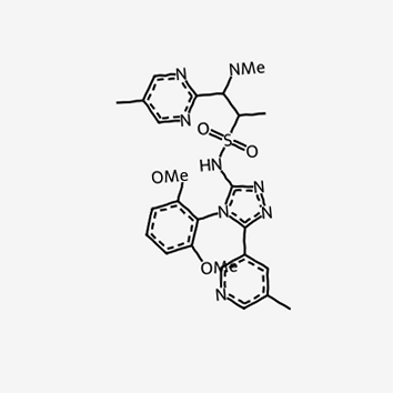 CNC(c1ncc(C)cn1)C(C)S(=O)(=O)Nc1nnc(-c2cncc(C)c2)n1-c1c(OC)cccc1OC